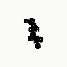 CCN(CC)Cc1ccc(C)c(NC(=O)c2ccc(Nc3nc(-c4ccccc4)c4ccccc4n3)cc2)c1